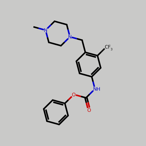 CN1CCN(Cc2ccc(NC(=O)Oc3ccccc3)cc2C(F)(F)F)CC1